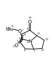 CC(C)(C)OC(=O)N1C2CC=CC(=O)C1CC2